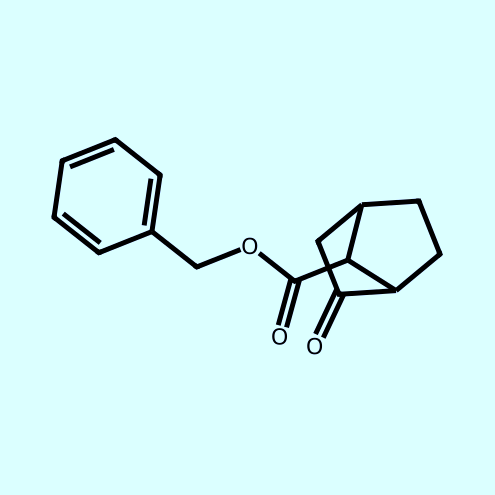 O=C1CC2CCC1C2C(=O)OCc1ccccc1